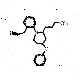 N#CCc1ccccc1N1CCC(Oc2ccccc2)CC1CCCO